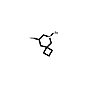 CC(C)(C)C1CN(C(C)(C)C)CC2(CCC2)C1